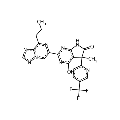 CCCc1nc(-c2nc(O)c3c(n2)NC(=O)C3(C)c2ccc(C(F)(F)F)cn2)cn2ncnc12